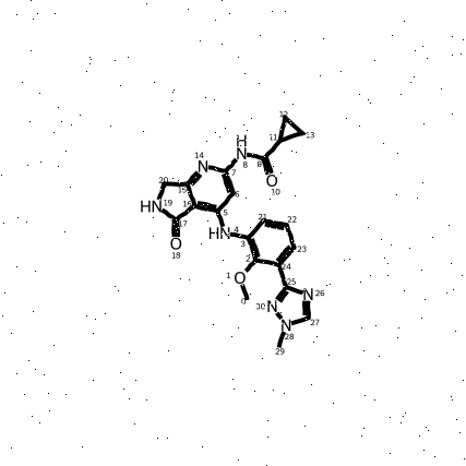 COc1c(Nc2cc(NC(=O)C3CC3)nc3c2C(=O)NC3)cccc1-c1ncn(C)n1